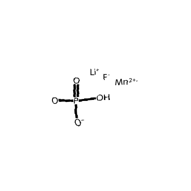 O=P([O-])([O-])O.[F-].[Li+].[Mn+2]